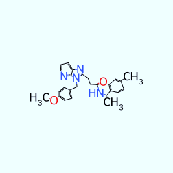 COc1ccc(Cn2c(CCC(=O)N[C@@H](C)c3ccc(C)cc3)nc3cccnc32)cc1